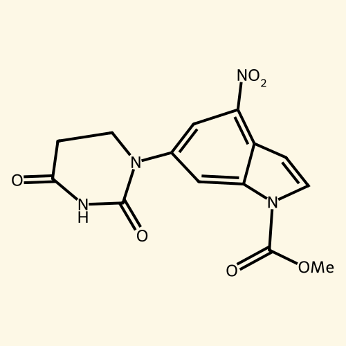 COC(=O)n1ccc2c([N+](=O)[O-])cc(N3CCC(=O)NC3=O)cc21